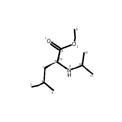 COC(=O)[C@H](CC(C)C)NC(C)C